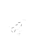 COc1ccn(C2c3cc(C#N)ccc3OC(C)(C)C2O)c(=O)c1